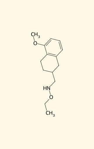 CCONCC1CCc2c(cccc2OC)C1